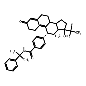 CC(C)(NC(=O)c1ccc([C@H]2C[C@@]3(C)C(CC[C@]3(O)C(F)(F)C(F)(F)F)C3CCC4=CC(=O)CCC4=C32)cc1)c1ccccc1